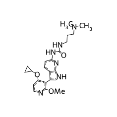 COc1nccc(OC2CC2)c1-c1c[nH]c2nc(NC(=O)NCCCN(C)C)ccc12